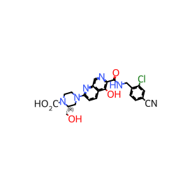 N#Cc1ccc(CNC(=O)c2ncc3nc(N4CCN(C(=O)O)[C@@H](CO)C4)ccc3c2O)c(Cl)c1